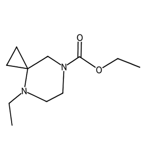 CCOC(=O)N1CCN(CC)C2(CC2)C1